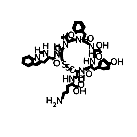 CNC(Cc1cc2ccccc2[nH]1)C(=O)NC1CSSCC(C(=O)NC(CCCCN)C(=O)O)NC(=O)C(Cc2ccc(O)cc2)NC(=O)C(C(C)O)NC(=O)C(Cc2ccccc2)NC(=O)C(C(C)C)NC1=O